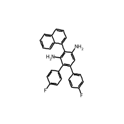 Nc1cc(-c2ccc(F)cc2)c(-c2ccc(F)cc2)c(N)c1-c1cccc2ccccc12